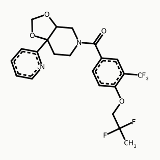 CC(F)(F)COc1ccc(C(=O)N2CCC3(c4ccccn4)OCOC3C2)cc1C(F)(F)F